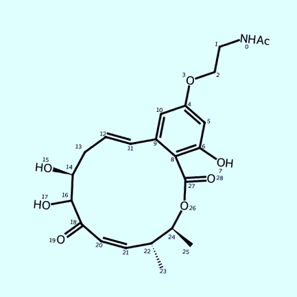 CC(=O)NCCOc1cc(O)c2c(c1)/C=C/C[C@H](O)C(O)C(=O)/C=C\[C@@H](C)[C@H](C)OC2=O